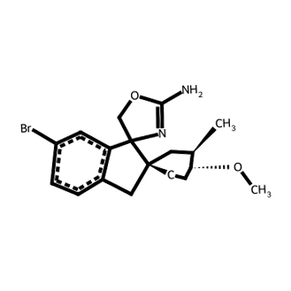 CO[C@@H]1CC[C@]2(Cc3ccc(Br)cc3C23COC(N)=N3)C[C@H]1C